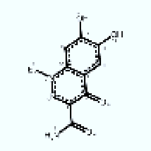 CCn1nc(C(N)=O)c(=O)c2cc(O)c(O)cc21